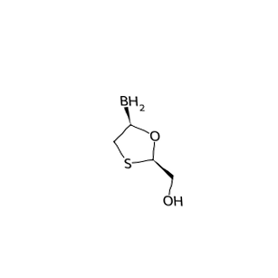 B[C@@H]1CS[C@H](CO)O1